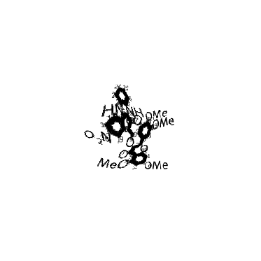 COc1cc(OC)c2c(=O)c(OCCCC3(c4ccc([N+](=O)[O-])cc4)Nc4ccccc4N3)c(-c3cc(OC)c(OC)c(OC)c3)oc2c1